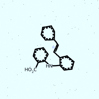 O=C(O)c1ccccc1Nc1ccccc1/C=C/c1ccccc1